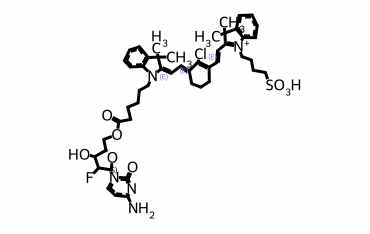 CC1(C)C(/C=C/C2=C(Cl)C(=C/C=C3/N(CCCCCC(=O)OCC4O[C@H](n5ccc(N)nc5=O)C(F)C4O)c4ccccc4C3(C)C)/CCC2)=[N+](CCCCS(=O)(=O)O)c2ccccc21